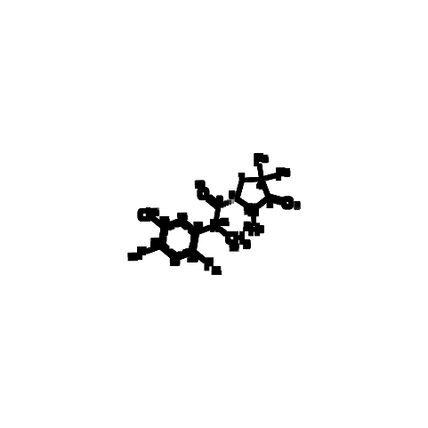 [2H]N1C(=O)C(F)(F)C[C@H]1C(=O)N(C)c1cc(Cl)c(F)cc1F